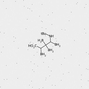 BC(NC(C)(C)C)C(B)(B)C(B)C(=O)O